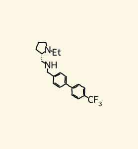 CCN1CCC[C@H]1CNCc1ccc(-c2ccc(C(F)(F)F)cc2)cc1